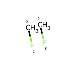 CF.CF